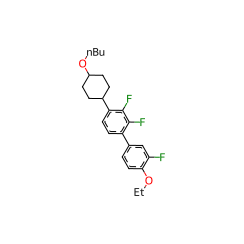 CCCCOC1CCC(c2ccc(-c3ccc(OCC)c(F)c3)c(F)c2F)CC1